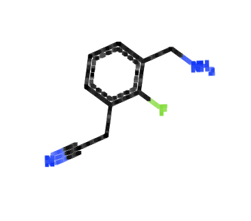 N#CCc1cccc(CN)c1F